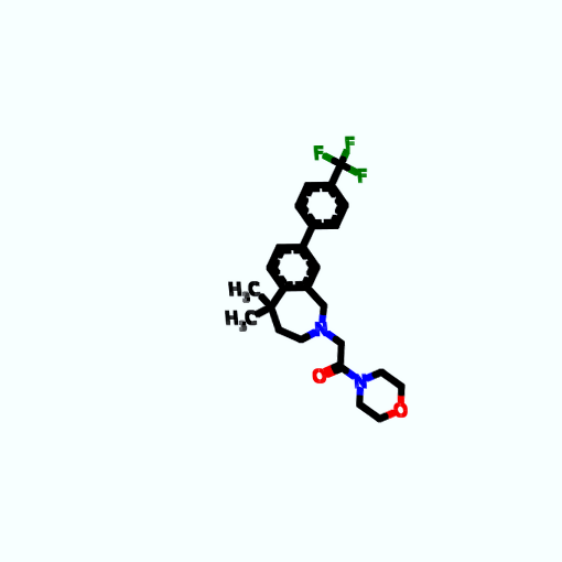 CC1(C)CCN(CC(=O)N2CCOCC2)Cc2cc(-c3ccc(C(F)(F)F)cc3)ccc21